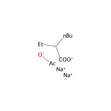 CC(=O)[O-].CCCCC(CC)C(=O)[O-].[Na+].[Na+]